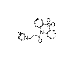 O=C(CCn1ccnc1)N1c2ccccc2S(=O)(=O)c2ccccc21